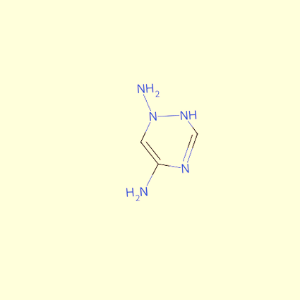 NC1=CN(N)NC=N1